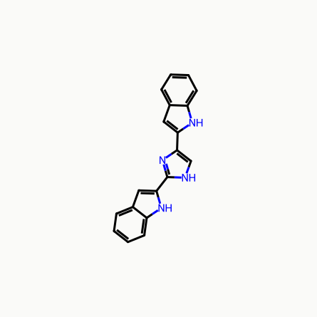 c1ccc2[nH]c(-c3c[nH]c(-c4cc5ccccc5[nH]4)n3)cc2c1